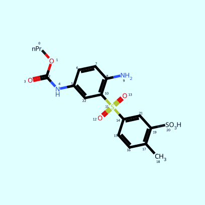 CCCOC(=O)Nc1ccc(N)c(S(=O)(=O)c2ccc(C)c(S(=O)(=O)O)c2)c1